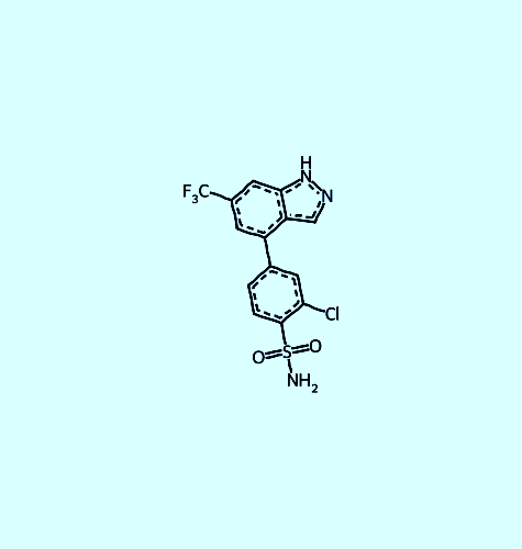 NS(=O)(=O)c1ccc(-c2cc(C(F)(F)F)cc3[nH]ncc23)cc1Cl